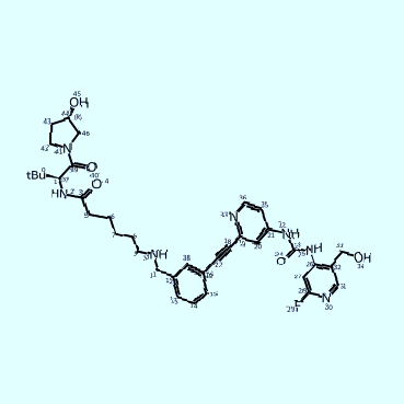 CC(C)(C)[C@H](NC(=O)CCCCCNCc1cccc(C#Cc2cc(NC(=O)Nc3cc(F)ncc3CO)ccn2)c1)C(=O)N1CC[C@@H](O)C1